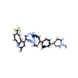 Cc1cc(-c2cnc3cc(-c4ccc(C5CCN(C)CC5)cc4)ccn23)c2cc(C(F)(F)F)ccc2n1